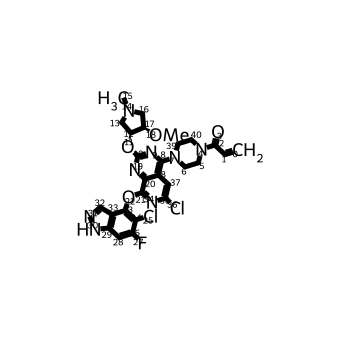 C=CC(=O)N1CCN(c2nc(O[C@@H]3CN(C)C[C@H]3OC)nc3c(Oc4c(Cl)c(F)cc5[nH]ncc45)nc(Cl)cc23)CC1